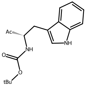 CC(=O)[C@H](Cc1c[nH]c2ccccc12)NC(=O)OC(C)(C)C